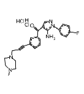 CN1CCN(CC#Cc2cccc(C(=O)c3cnn(-c4ccc(F)cc4)c3N)c2)CC1.Cl.Cl